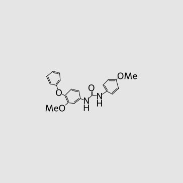 COc1ccc(NC(=O)Nc2ccc(Oc3ccccc3)c(OC)c2)cc1